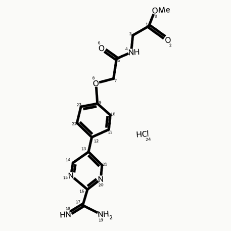 COC(=O)CNC(=O)COc1ccc(-c2cnc(C(=N)N)nc2)cc1.Cl